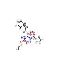 C=CCOC(=O)NC(NC(=O)C1CCCC1)[C@@H](O)CCc1ccccc1